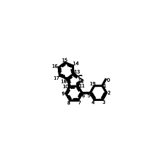 CC1C=CC=C(c2cccc3c2sc2ccccc23)C1